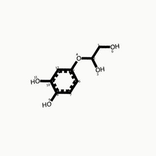 OCC(O)Oc1ccc(O)c(O)c1